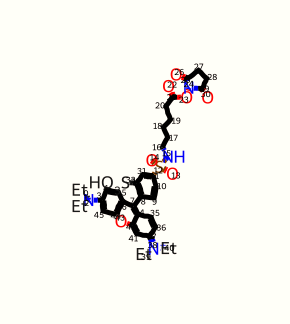 CCN(CC)c1ccc2c(-c3ccc(S(=O)(=O)NCCCCCC(=O)ON4C(=O)CCC4=O)cc3S(=O)(=O)O)c3ccc(=[N+](CC)CC)cc-3oc2c1